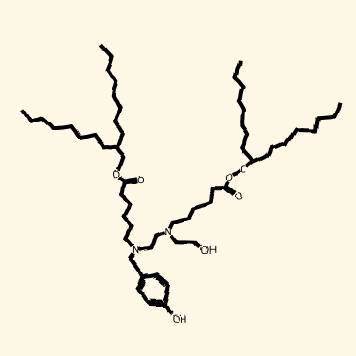 CCCCCCCCC(CCCCCCCC)COC(=O)CCCCCN(CCO)CCN(CCCCCC(=O)OCC(CCCCCCCC)CCCCCCCC)Cc1ccc(O)cc1